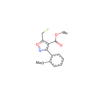 COc1ccccc1-c1noc(CF)c1C(=O)OC(C)(C)C